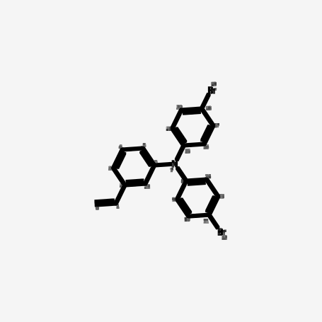 C=Cc1cccc(N(c2ccc(Br)cc2)c2ccc(Br)cc2)c1